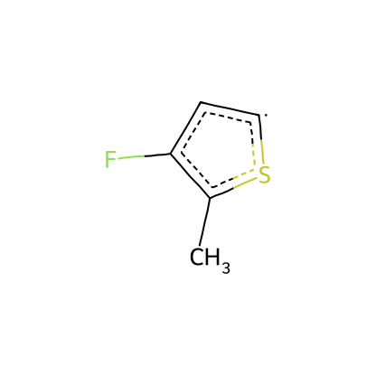 Cc1s[c]cc1F